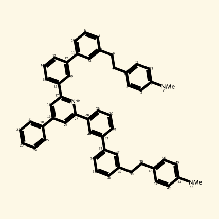 CNc1ccc(CCc2cccc(-c3cccc(-c4cc(-c5ccccc5)cc(-c5cccc(-c6cccc(CCc7ccc(NC)cc7)c6)c5)n4)c3)c2)cc1